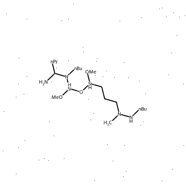 CCCCNN(C)CCC[SiH](OC)O[SiH](OC)N(CCCC)C(N)CCC